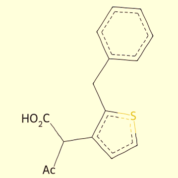 CC(=O)C(C(=O)O)c1ccsc1Cc1ccccc1